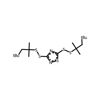 CC(C)(C)CC(C)(C)SSc1nsc(SSC(C)(C)CC(C)(C)C)n1